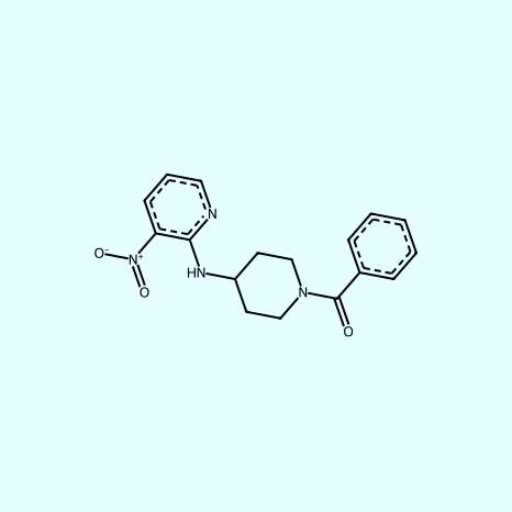 O=C(c1ccccc1)N1CCC(Nc2ncccc2[N+](=O)[O-])CC1